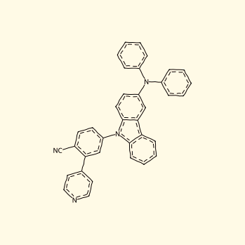 N#Cc1ccc(-n2c3ccccc3c3cc(N(c4ccccc4)c4ccccc4)ccc32)cc1-c1ccncc1